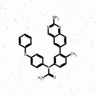 Cc1ccc(N(C(N)=O)c2ccc(Oc3ccccc3)cc2)cc1-c1ccc2nc(N)ncc2c1